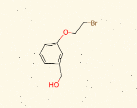 OCc1cccc(OCCBr)c1